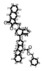 O=C(OCc1ccccc1)n1c2cc(-c3ncc(/N=c4\c(=O)c(=O)c5cc6ccccc6cc45)c4nsnc34)sc2c2sc3ccccc3c21